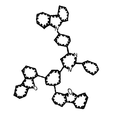 c1ccc(-c2nc(-c3ccc(-n4c5ccccc5c5ccccc54)cc3)cc(-c3cc(-c4cccc5c4oc4ccccc45)cc(-c4cccc5c4oc4ccccc45)c3)n2)cc1